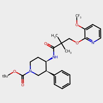 CC(C)(C)OC(=O)N1CC[C@@H](NC(=O)C(C)(C)COc2ncccc2OC(F)(F)F)[C@@H](c2ccccc2)C1